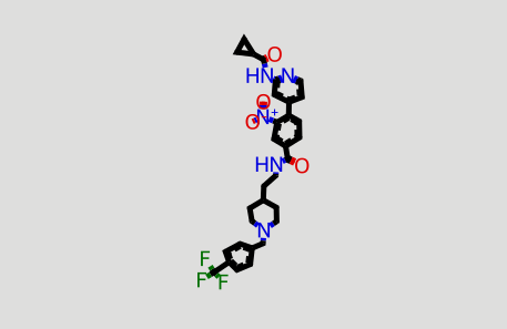 O=C(NCCC1CCN(Cc2ccc(C(F)(F)F)cc2)CC1)c1ccc(-c2ccnc(NC(=O)C3CC3)c2)c([N+](=O)[O-])c1